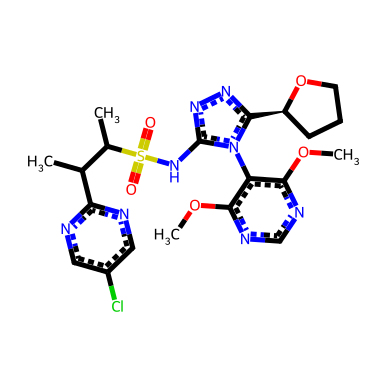 COc1ncnc(OC)c1-n1c(NS(=O)(=O)C(C)C(C)c2ncc(Cl)cn2)nnc1[C@@H]1CCCO1